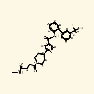 CNC(=O)CCC(=O)N1CCC(c2nc(C(=O)Nc3ccccc3-c3cccc(C(F)(F)F)c3)cs2)CC1